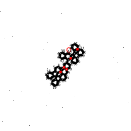 c1cc(-c2ccc3c(c2)C2(c4ccccc4-3)c3ccccc3-c3ccc4ccccc4c32)cc(-c2cc3c(c4ccccc24)Oc2ccccc2C32c3ccccc3-c3ccccc32)c1